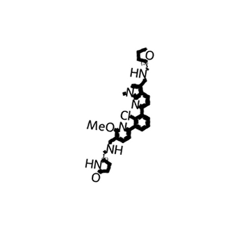 COc1nc(-c2cccc(-c3ccc4c(CNC[C@@H]5CCCO5)cn(C)c4n3)c2Cl)ccc1CNC[C@@H]1CCC(=O)N1